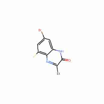 CCc1nc2c(F)cc(Br)cc2[nH]c1=O